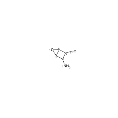 CC(C)C1C(N)C2OC21